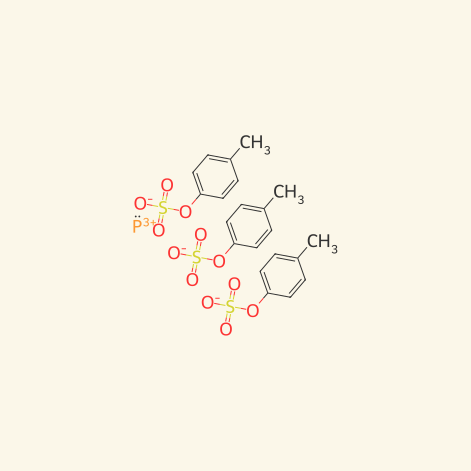 Cc1ccc(OS(=O)(=O)[O-])cc1.Cc1ccc(OS(=O)(=O)[O-])cc1.Cc1ccc(OS(=O)(=O)[O-])cc1.[P+3]